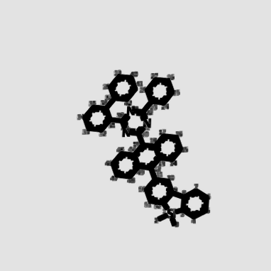 C[Si]1(C)c2ccccc2-c2cc(-c3c4ccccc4c(-c4nc(-c5ccccc5)nc(-c5ccccc5-c5ccccc5)n4)c4ccccc34)ccc21